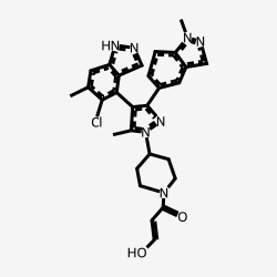 Cc1cc2[nH]ncc2c(-c2c(-c3ccc4c(cnn4C)c3)nn(C3CCN(C(=O)/C=C/O)CC3)c2C)c1Cl